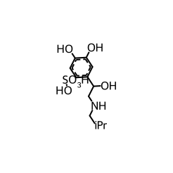 CC(C)CNCC(O)c1ccc(O)c(O)c1.O=S(=O)(O)O